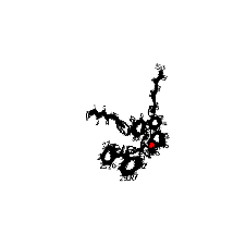 CCCCCCOc1cccc([Si](Cn2ccnc2BC(c2ccccc2)c2ccccc2)(c2ccccc2)c2cccc(OCCCCCC)c2)c1